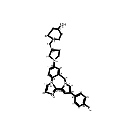 OC1CCN(C[C@H]2CCN(c3ccc4c(c3)Cn3cc(-c5ccc(F)cc5)cc3-c3nccn3-4)C2)CC1